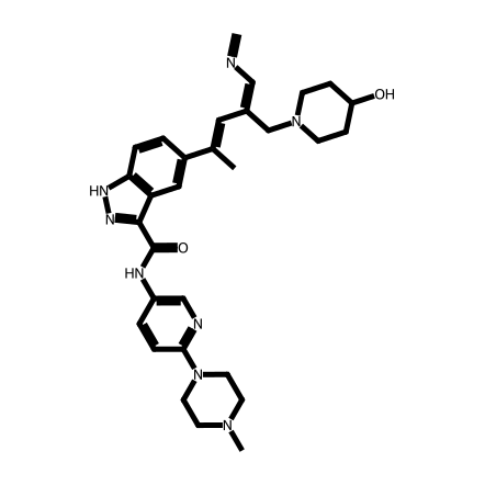 C=N/C=C(\C=C(/C)c1ccc2[nH]nc(C(=O)Nc3ccc(N4CCN(C)CC4)nc3)c2c1)CN1CCC(O)CC1